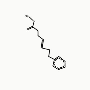 CCCCOC(=O)CC/C=C/CCc1ccccc1